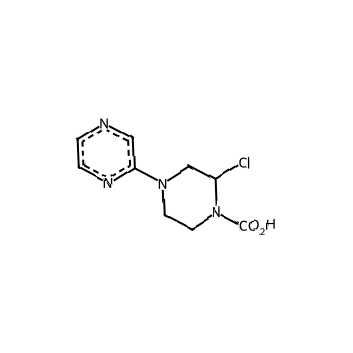 O=C(O)N1CCN(c2cnccn2)CC1Cl